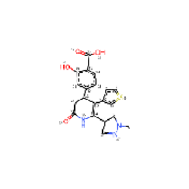 CN1CC(C2=C(c3ccsc3)C(c3ccc(C(=O)O)c(O)c3)CC(=O)N2)C=N1